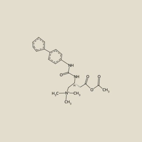 CC(=O)OC(=O)C[C@H](C[N+](C)(C)C)NC(=O)Nc1ccc(-c2ccccc2)cc1